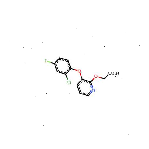 O=C(O)COc1ncccc1Oc1ccc(F)cc1Cl